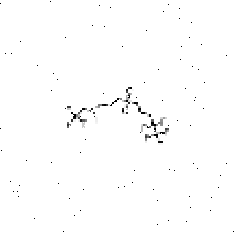 O=S(=O)(CCCNCC(F)(F)F)CCCC(F)(F)C(F)(F)F